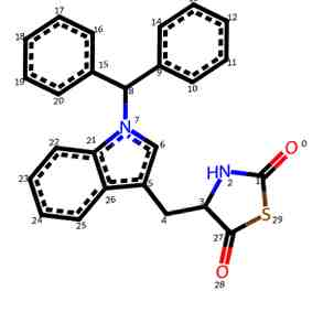 O=C1NC(Cc2cn(C(c3ccccc3)c3ccccc3)c3ccccc23)C(=O)S1